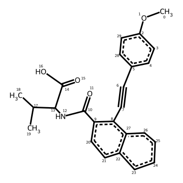 COc1ccc(C#Cc2c(C(=O)NC(C(=O)O)C(C)C)ccc3ccccc23)cc1